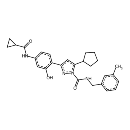 Cc1cccc(CNC(=O)n2nc(-c3ccc(NC(=O)C4CC4)cc3O)cc2C2CCCC2)c1